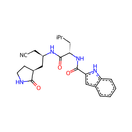 CC(C)C[C@H](NC(=O)c1cc2ccccc2[nH]1)C(=O)N[C@H](CC#N)C[C@@H]1CCNC1=O